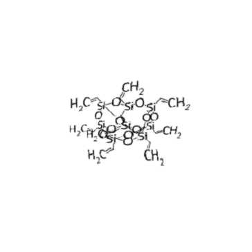 C=C[Si]12C[Si]3(C=C)O[Si]4(C=C)O[Si](C=C)(O1)O[Si]1(C=C)O[Si](C=C)(O2)O[Si](C=C)(O3)O[Si](C=C)(O4)O1